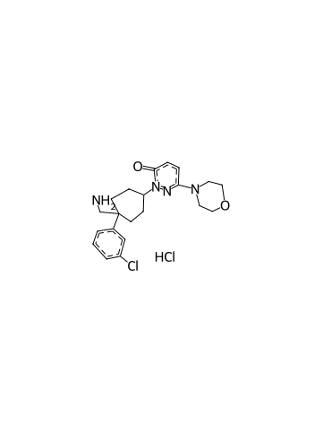 Cl.NCC1(c2cccc(Cl)c2)CCC(n2nc(N3CCOCC3)ccc2=O)CC1